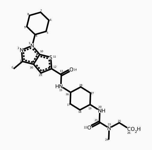 Cc1nn(C2CCCCC2)c2sc(C(=O)NC3CCC(NC(=O)N(C)CC(=O)O)CC3)cc12